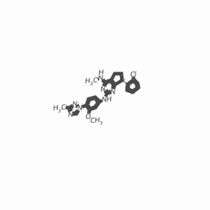 CNc1nc(Nc2ccc(-n3cnc(C)n3)c(OC)c2)nc2c1CC[C@@H]2c1ccccc1Cl